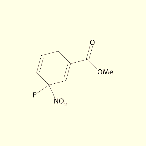 COC(=O)C1=CC(F)([N+](=O)[O-])C=CC1